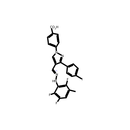 Cc1cc(F)c(F)c(N/N=C/c2cn(-c3ccc(C(=O)O)cc3)nc2-c2ccc(I)cc2)c1F